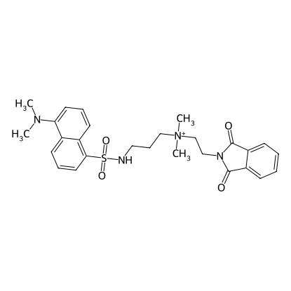 CN(C)c1cccc2c(S(=O)(=O)NCCC[N+](C)(C)CCN3C(=O)c4ccccc4C3=O)cccc12